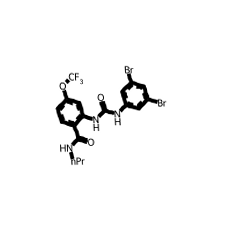 CCCNC(=O)c1ccc(OC(F)(F)F)cc1NC(=O)Nc1cc(Br)cc(Br)c1